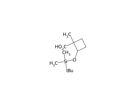 CC1(C(=O)O)CCC1O[Si](C)(C)C(C)(C)C